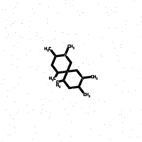 CC1CC(C)C2(CN1C)CN(C)C(C)CC2C